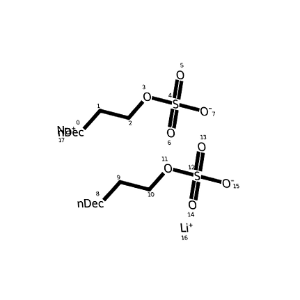 CCCCCCCCCCCCOS(=O)(=O)[O-].CCCCCCCCCCCCOS(=O)(=O)[O-].[Li+].[Na+]